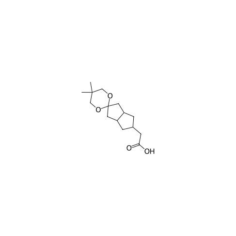 CC1(C)COC2(CC3CC(CC(=O)O)CC3C2)OC1